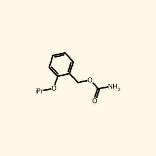 CC(C)Oc1ccccc1COC(N)=O